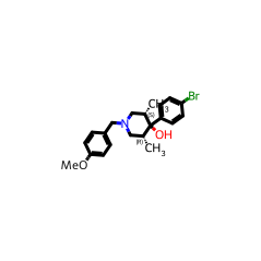 COc1ccc(CN2C[C@@H](C)C(O)(c3ccc(Br)cc3)[C@@H](C)C2)cc1